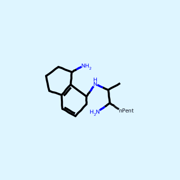 CCCCCC(N)C(C)NC1CC=CC2=C1C(N)CCC2